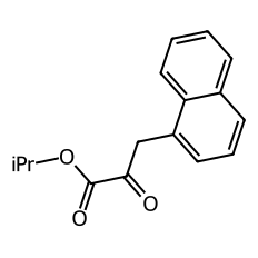 CC(C)OC(=O)C(=O)Cc1cccc2ccccc12